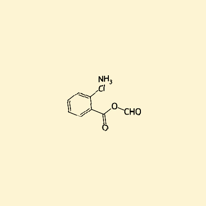 N.O=COC(=O)c1ccccc1Cl